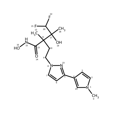 Cn1ccc(-c2ccn(CCC(C)(C(=O)NO)C(C)(O)C(F)F)n2)c1